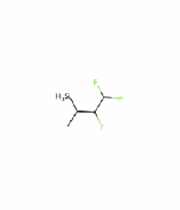 CC([SiH3])C(F)C(F)F